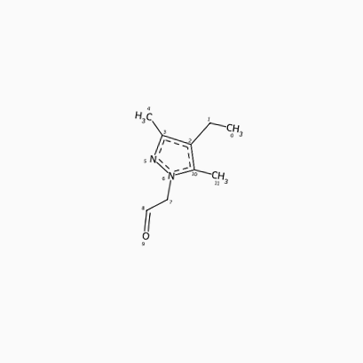 CCc1c(C)nn(CC=O)c1C